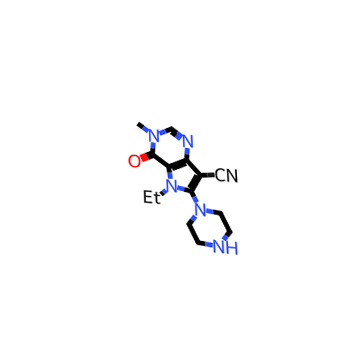 CCn1c(N2CCNCC2)c(C#N)c2ncn(C)c(=O)c21